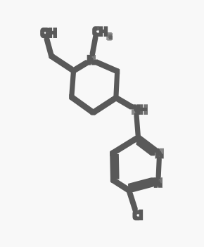 CN1CC(Nc2ccc(Cl)nn2)CCC1CO